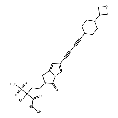 CC(CCN1Cc2cc(C#CC#CC3CCN(C4COC4)CC3)cn2C1=O)(C(=O)NO)S(C)(=O)=O